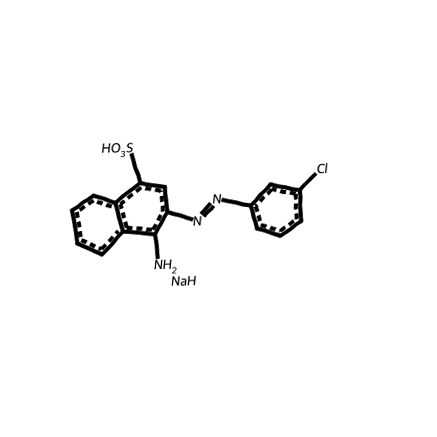 Nc1c(/N=N/c2cccc(Cl)c2)cc(S(=O)(=O)O)c2ccccc12.[NaH]